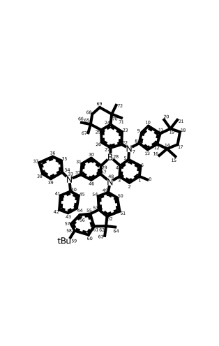 Cc1cc2c3c(c1)N(c1ccc4c(c1)C(C)(C)CCC4(C)C)c1cc4c(cc1B3c1ccc(N(c3ccccc3)c3ccccc3)cc1N2c1ccc2c(c1)-c1ccc(C(C)(C)C)cc1C2(C)C)C(C)(C)CCC4(C)C